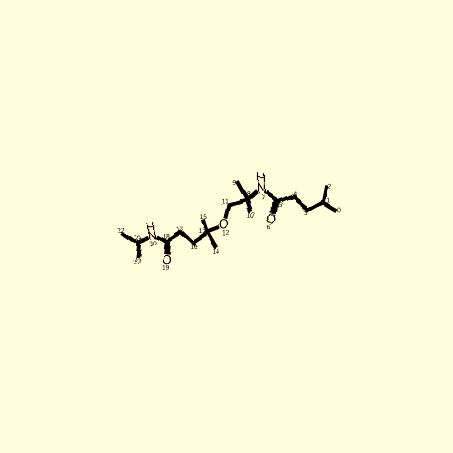 CC(C)CCC(=O)NC(C)(C)COC(C)(C)CCC(=O)NC(C)C